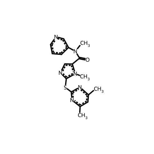 Cc1cc(C)nc(Sc2ncc(C(=O)N(C)c3cccnc3)n2C)n1